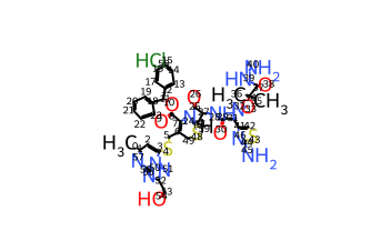 Cc1cc(SCC2=C(C(=O)OC(c3ccccc3)c3ccccc3)N3C(=O)C(NC(=O)C(=NOC(C)(C)C(=O)NN)c4csc(N)n4)[C@@H]3SC2)n2nc(CO)nc2n1.Cl